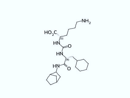 NCCCC[C@H](NC(=O)N[C@H](CC1CCCCC1)C(=O)NC1CC2CCC1C2)C(=O)O